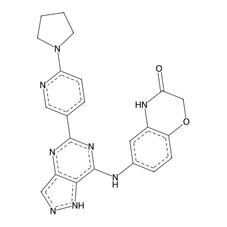 O=C1COc2ccc(Nc3nc(-c4ccc(N5CCCC5)nc4)nc4cn[nH]c34)cc2N1